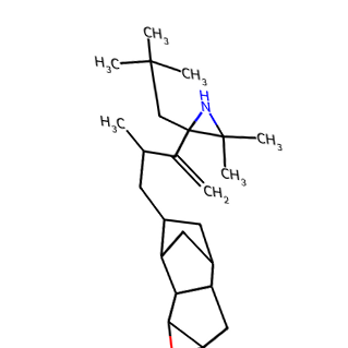 C=C(C(C)CC1CC2CC1C1C2CC2OC21)C1(CC(C)(C)C)NC1(C)C